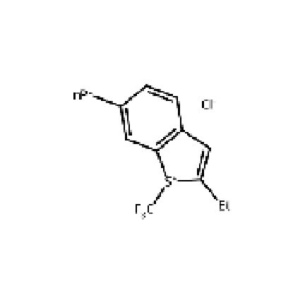 CCCc1ccc2cc(CC)[s+](C(F)(F)F)c2c1.[Cl-]